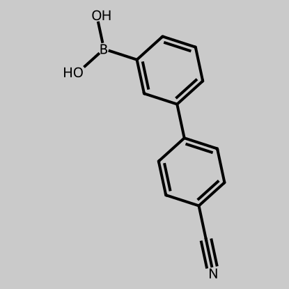 N#Cc1ccc(-c2cccc(B(O)O)c2)cc1